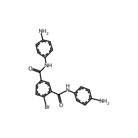 Nc1ccc(NC(=O)c2ccc(Br)c(C(=O)Nc3ccc(N)cc3)c2)cc1